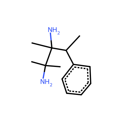 CC(c1ccccc1)C(C)(N)C(C)(C)N